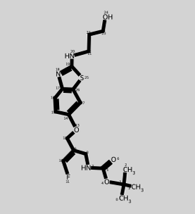 CC(C)(C)OC(=O)NC/C(=C\F)COc1ccc2nc(NCCCO)sc2c1